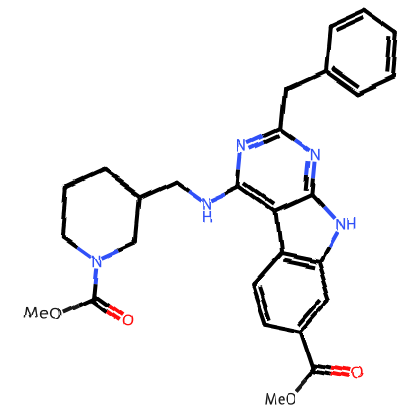 COC(=O)c1ccc2c(c1)[nH]c1nc(Cc3ccccc3)nc(NCC3CCCN(C(=O)OC)C3)c12